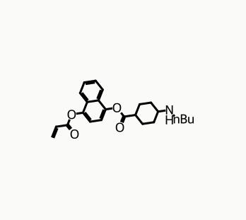 C=CC(=O)Oc1ccc(OC(=O)C2CCC(NCCCC)CC2)c2ccccc12